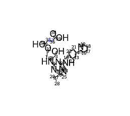 CC[C@H](CO)Nc1nc(NCc2ccc(-c3ccccn3)cc2)n2ncc(C(C)C)c2n1.O=C(O)/C=C/C(=O)O